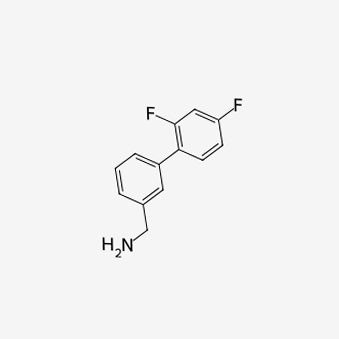 NCc1cccc(-c2ccc(F)cc2F)c1